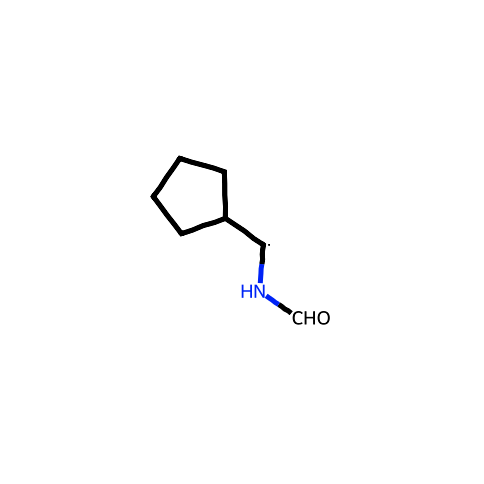 O=CN[CH]C1CCCC1